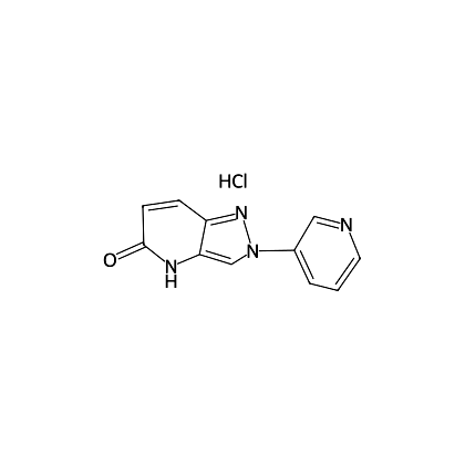 Cl.O=c1ccc2nn(-c3cccnc3)cc2[nH]1